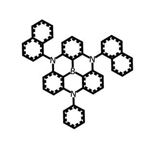 c1ccc(N2c3cccc4c3B3c5c2cccc5N(c2cccc5ccccc25)c2cccc(c23)N4c2cccc3ccccc23)cc1